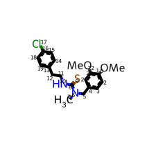 COc1ccc(CN(C)C(=S)NCCc2ccc(Cl)cc2)cc1OC